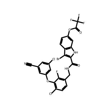 N#Cc1cc(Cl)cc(Oc2c(Cl)ccc(CNC(=O)c3[nH]c4cc(OC(=O)C(F)(F)F)ccc4c3Br)c2F)c1